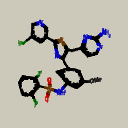 COc1cc(NS(=O)(=O)c2c(F)cccc2F)cc(-c2nc(-c3cncc(F)c3)sc2-c2ccnc(N)n2)c1